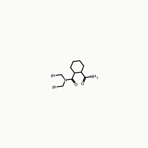 CC(C)CN(CC(C)C)C(=O)C1CCCCC1C(N)=O